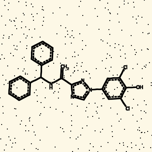 C=C(NC(c1ccccc1)c1ccccc1)c1ncn(-c2cc(Cl)c(O)c(Cl)c2)n1